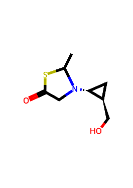 CC1SC(=O)CN1[C@@H]1C[C@H]1CO